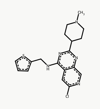 CN1CCC(c2nc(NCc3cccs3)c3cc(Cl)ncc3n2)CC1